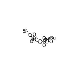 CCCCN1C(=O)CC(=O)N(c2ccc(CN3C(=O)N(COCC[Si](C)(C)C)C(=O)C3(C)C)cc2)C1=O